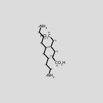 NCCCCCCCCN.O=C(O)CCCCC(=O)O